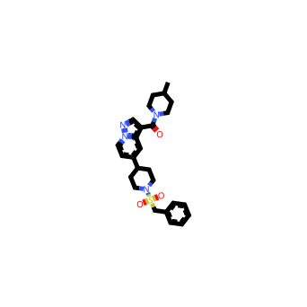 CC1CCN(C(=O)c2cnn3ccc(C4CCN(S(=O)(=O)Cc5ccccc5)CC4)cc23)CC1